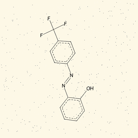 Oc1ccccc1N=Nc1ccc(C(F)(F)F)cc1